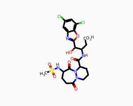 CS(=O)(=O)NC1CCC(=O)N2CCCC(C(=O)NC(CC(=O)O)C(O)c3nc4cc(Cl)cc(Cl)c4o3)N2C1=O